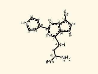 CC(C)[C@H](N)CNc1nc(-c2ccncc2)nc2c(Br)csc12